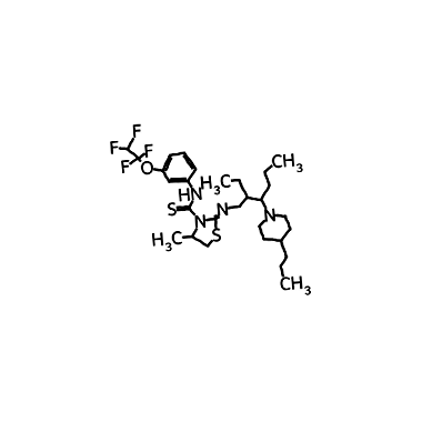 CCCC1CCN(C(CCC)C(CC)CN=C2SCC(C)N2C(=S)Nc2cccc(OC(F)(F)C(F)F)c2)CC1